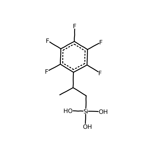 CC(C[Si](O)(O)O)c1c(F)c(F)c(F)c(F)c1F